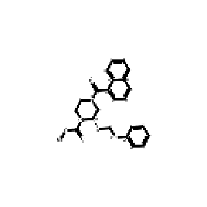 CC(C)(C)OC(=O)N1CCN(C(=O)c2cccc3ccccc23)C[C@@H]1CCSc1ccccc1